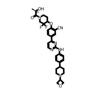 C[C@@H](O)C(=O)N1CCC(Oc2ccc(-c3ccnc(Nc4ccc(C5CCN(C6COC6)CC5)cc4)n3)cc2C#N)C(F)(F)C1